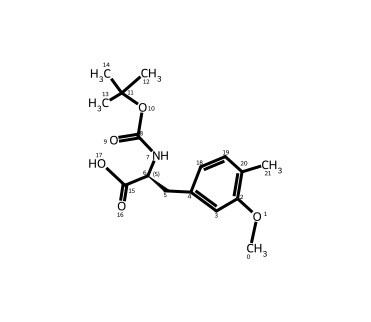 COc1cc(C[C@H](NC(=O)OC(C)(C)C)C(=O)O)ccc1C